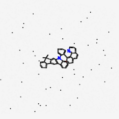 CC1(C)c2ccccc2-c2cc3c4ccccc4n(-c4ccccc4-c4cccc5ccc6cccnc6c45)c3cc21